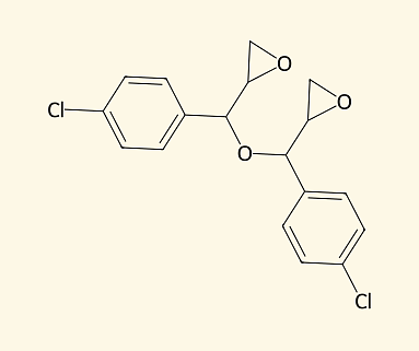 Clc1ccc(C(OC(c2ccc(Cl)cc2)C2CO2)C2CO2)cc1